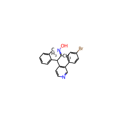 CC(=NO)C(c1ccccc1C)c1ccncc1-c1ccc(Br)cc1